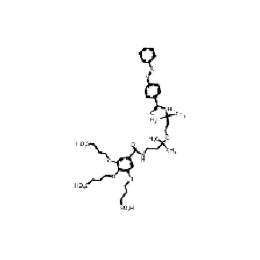 CC(C)(CCOC(C)(C)CCNC(=O)c1cc(OCCCS(=O)(=O)O)c(OCCCS(=O)(=O)O)c(OCCCS(=O)(=O)O)c1)NC(=O)c1ccc(/N=N/c2ccccc2)cc1